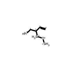 C=CC(CCCC)[SiH2]O[SiH3]